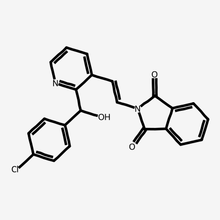 O=C1c2ccccc2C(=O)N1C=Cc1cccnc1C(O)c1ccc(Cl)cc1